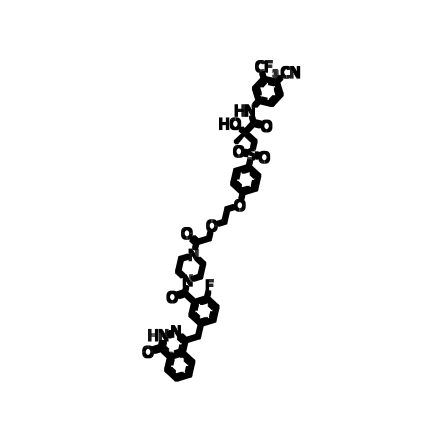 C[C@](O)(CS(=O)(=O)c1ccc(OCCOCC(=O)N2CCN(C(=O)c3cc(Cc4n[nH]c(=O)c5ccccc45)ccc3F)CC2)cc1)C(=O)Nc1ccc(C#N)c(C(F)(F)F)c1